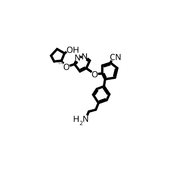 N#Cc1ccc(-c2ccc(CCN)cc2)c(Oc2cnnc(O[C@H]3CCCC3O)c2)c1